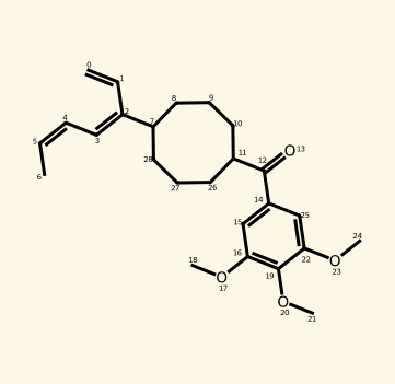 C=C/C(=C\C=C/C)C1CCCC(C(=O)c2cc(OC)c(OC)c(OC)c2)CCC1